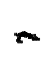 COCC[C@H](N)C(=O)O[C@@H]1CCC2(C)C(CC[C@H]3[C@@H]4CCC([C@H](C)CCCOCOC(C)(C)C)C4(C)C=C[C@@H]32)C1